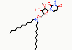 CCCCCCCCCCN(CCCCCCCCCC)OC[C@H]1O[C@@H](n2ccc(=O)[nH]c2=O)C(OC)C1O